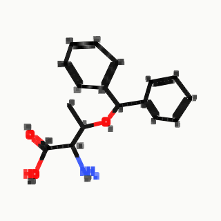 CC(OC(c1ccccc1)c1ccccc1)C(N)C(=O)O